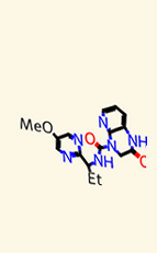 CCC(NC(=O)N1CC(=O)Nc2cccnc21)c1ncc(OC)cn1